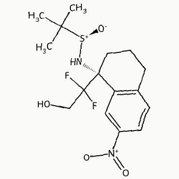 CC(C)(C)[S@@+]([O-])N[C@]1(C(F)(F)CO)CCCc2ccc([N+](=O)[O-])cc21